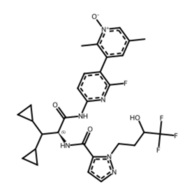 Cc1cc(-c2ccc(NC(=O)[C@@H](NC(=O)c3ccnn3CCC(O)C(F)(F)F)C(C3CC3)C3CC3)nc2F)c(C)[n+]([O-])c1